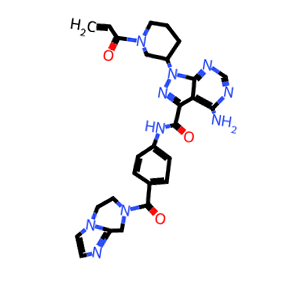 C=CC(=O)N1CCCC(n2nc(C(=O)Nc3ccc(C(=O)N4CCn5ccnc5C4)cc3)c3c(N)ncnc32)C1